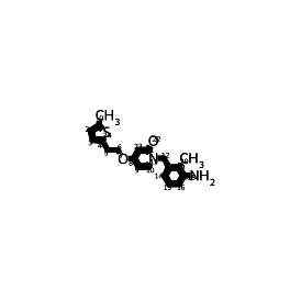 Cc1ccc(CCOc2ccn(Cc3cccc(N)c3C)c(=O)c2)s1